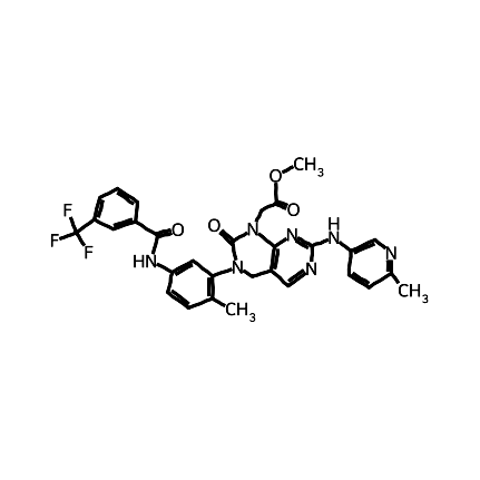 COC(=O)CN1C(=O)N(c2cc(NC(=O)c3cccc(C(F)(F)F)c3)ccc2C)Cc2cnc(Nc3ccc(C)nc3)nc21